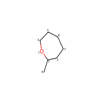 C[C]1CCCCCO1